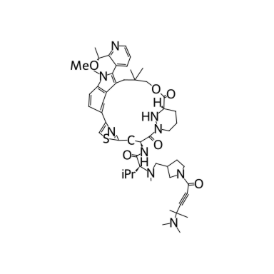 CO[C@@H](C)c1ncccc1-c1c2c3cc(ccc3n1C)-c1csc(n1)C[C@H](NC(=O)[C@H](C(C)C)N(C)CC1CCN(C(=O)C#CC(C)(C)N(C)C)C1)C(=O)N1CCC[C@H](N1)C(=O)OCC(C)(C)C2